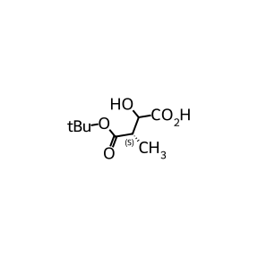 C[C@H](C(=O)OC(C)(C)C)C(O)C(=O)O